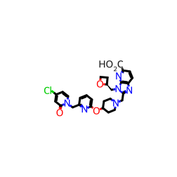 O=C(O)c1ccc2nc(CN3CCC(Oc4cccc(Cn5ccc(Cl)cc5=O)n4)CC3)n(C[C@@H]3CCO3)c2n1